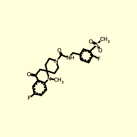 CN1c2ccc(F)cc2C(=O)CC12CCN(C(=O)NCc1ccc(F)c(S(C)(=O)=O)c1)CC2